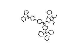 C=Cc1c(C=C)n2c3ccccc3c3cc(N(c4ccc(-c5ccc(-n6c7ccccc7c7ccccc76)cc5)cc4)c4ccc([Si](C5=CC=CCC5)(c5ccccc5)c5ccccc5)cc4)cc1c32